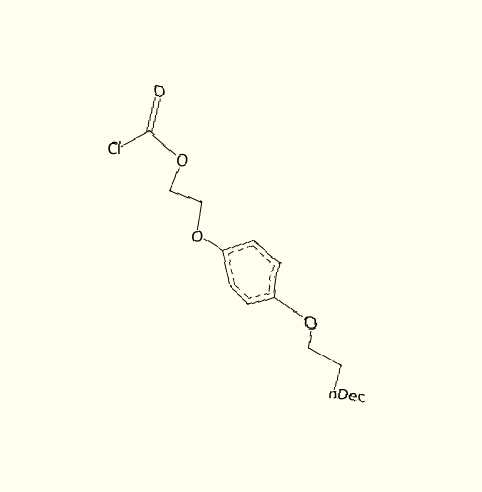 CCCCCCCCCCCCOc1ccc(OCCOC(=O)Cl)cc1